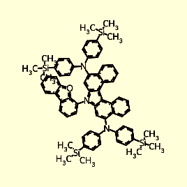 C[Si](C)(C)c1ccc(N(c2ccc([Si](C)(C)C)cc2)c2cc3c(c4ccccc24)c2c4ccccc4c(N(c4ccc([Si](C)(C)C)cc4)c4ccc([Si](C)(C)C)cc4)cc2n3-c2cccc3c2oc2ccccc23)cc1